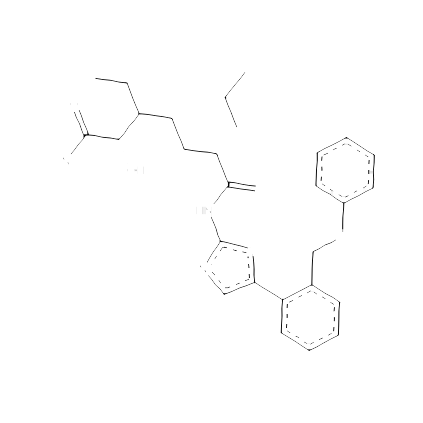 CCC[C@@H](CCC(CC)[C@H](O)C(N)=O)C(=O)Nc1ncc(-c2ccccc2COc2ccccc2)s1